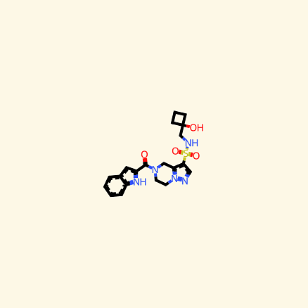 O=C(c1cc2ccccc2[nH]1)N1CCn2ncc(S(=O)(=O)NCC3(O)CCC3)c2C1